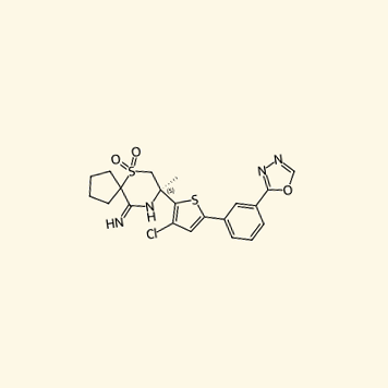 C[C@@]1(c2sc(-c3cccc(-c4nnco4)c3)cc2Cl)CS(=O)(=O)C2(CCCC2)C(=N)N1